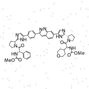 COC(=O)N[C@H](C(=O)N1CCC[C@H]1c1ncc(-c2ccc(-c3cc4ccc(-c5cnc([C@@H]6CCCN6C(=O)[C@@H](NC(=O)OC)C6CCOCC6)[nH]5)cc4nn3)cc2)[nH]1)c1ccccc1